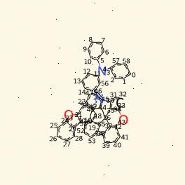 c1ccc(N(c2ccccc2)c2cccc(N(c3ccc4c(c3)oc3ccccc34)c3cccc4c3C3(c5ccccc5O4)c4ccccc4-c4ccccc43)c2)cc1